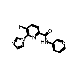 O=C(Nc1cccnc1)c1ccc(F)c(-n2ccnc2)n1